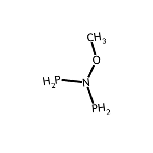 CON(P)P